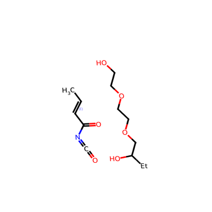 C/C=C/C(=O)N=C=O.CCC(O)COCCOCCO